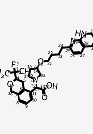 CC(C)(F)C1Cc2c(cccc2[C@@H](C(=O)O)N2CC[C@@H](OCCCCc3ccc4c(n3)NCCC4)C2)CO1